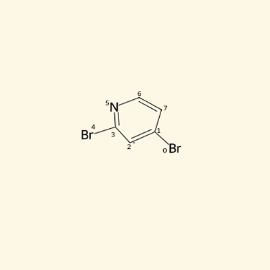 Brc1[c]c(Br)ncc1